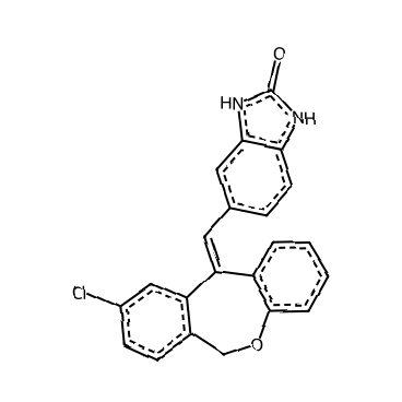 O=c1[nH]c2ccc(C=C3c4cc(Cl)ccc4COc4ccccc43)cc2[nH]1